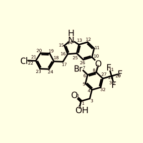 O=C(O)Cc1cc(Br)c(Oc2ccc3[nH]cc(Cc4ccc(Cl)cc4)c3c2)c(C(F)(F)F)c1